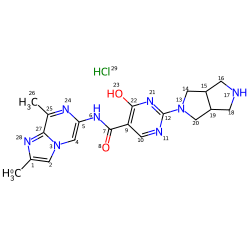 Cc1cn2cc(NC(=O)c3cnc(N4CC5CNCC5C4)nc3O)nc(C)c2n1.Cl